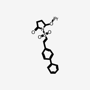 CC(C)OC1CCC(=O)N1S(=O)(=O)C=Cc1ccc(-c2ccccc2)cc1